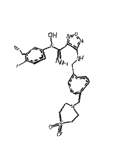 N=C(c1nonc1NCc1ccc(CN2CCS(=O)(=O)CC2)cc1)N(O)c1ccc(F)c(Br)c1